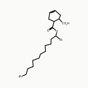 CCC(CCCCCCCCCCC(C)C)OC(=O)C1CC=CCC1C(=O)O